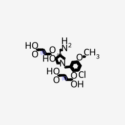 CCOc1cc(Cl)cc(CN2CC[C@@H](CN)C2)c1.O=C(O)/C=C/C(=O)O.O=C(O)/C=C/C(=O)O